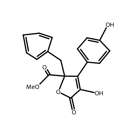 COC(=O)C1(Cc2ccccc2)OC(=O)C(O)=C1c1ccc(O)cc1